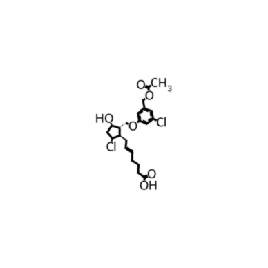 CC(=O)OCc1cc(Cl)cc(OC[C@@H]2[C@@H](CC=CCCCC(=O)O)[C@@H](Cl)C[C@H]2O)c1